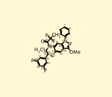 COc1nn(-c2ccccc2)c2ccc(O[C@H](c3cc(F)cc(F)c3)[C@H](C)NC(=O)C(C)(F)F)cc12